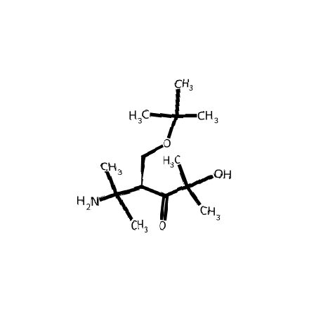 CC(C)(C)OC[C@@H](C(=O)C(C)(C)O)C(C)(C)N